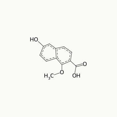 COc1c(C(=O)O)ccc2cc(O)ccc12